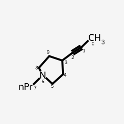 CC#CC1CCN(CCC)CC1